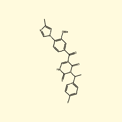 COc1cc(C(=O)c2c[nH]c(=S)n(C(C)c3ccc(F)cc3)c2=O)ccc1-n1cnc(C)c1